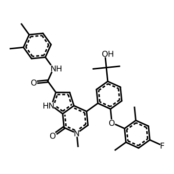 Cc1ccc(NC(=O)c2cc3c(-c4cc(C(C)(C)O)ccc4Oc4c(C)cc(F)cc4C)cn(C)c(=O)c3[nH]2)cc1C